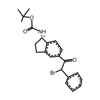 CC(C)(C)OC(=O)N[C@H]1CCc2cc(C(=O)C(Br)c3ccccc3)ccc21